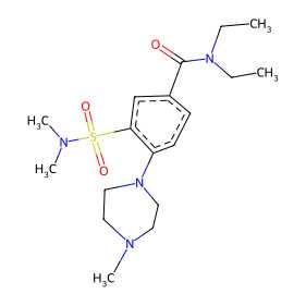 CCN(CC)C(=O)c1ccc(N2CCN(C)CC2)c(S(=O)(=O)N(C)C)c1